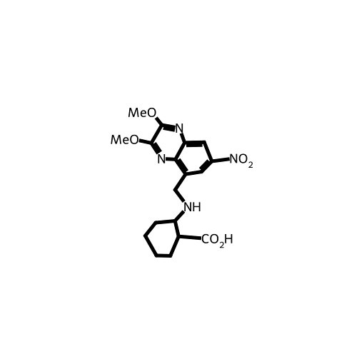 COc1nc2cc([N+](=O)[O-])cc(CNC3CCCCC3C(=O)O)c2nc1OC